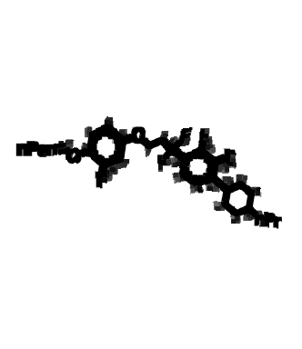 CCCCCOc1ccc(OCCC(F)(F)c2ccc(C3CCC(CCC)CC3)c(F)c2F)cc1F